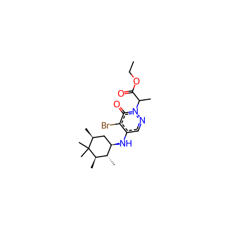 CCOC(=O)C(C)n1ncc(N[C@@H]2C[C@H](C)C(C)(C)[C@H](C)[C@H]2C)c(Br)c1=O